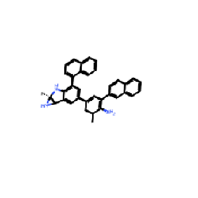 CC1CC(c2cc(-c3cccc4ccccc34)c3c(c2)C2N[C@H]2N3)=CC(c2ccc3ccccc3c2)=C1N